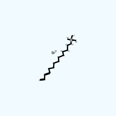 C=C/C=C/CCCCCCCCCC[P+](C)(C)C.[Br-]